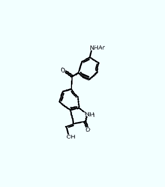 CC(=O)Nc1cccc(C(=O)c2ccc3c(c2)NC(=O)/C3=C\O)c1